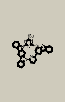 CC(C)(C)c1nc(-n2c3ccccc3c3cc4c5ccccc5n(-c5cccc(-c6ccc7sc8ccccc8c7c6)n5)c4cc32)nc(C(C)(C)C)n1